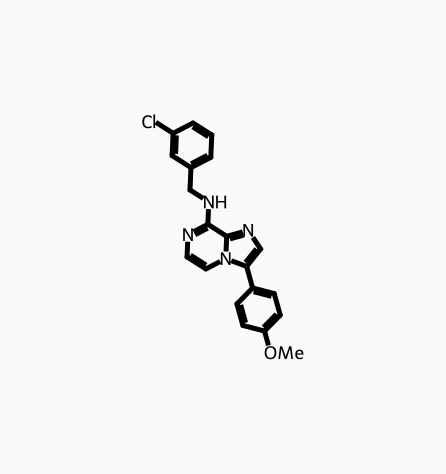 COc1ccc(-c2cnc3c(NCc4cccc(Cl)c4)nccn23)cc1